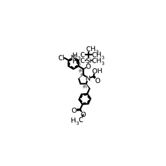 COC(=O)c1ccc(C[C@H]2CC[C@H]([C@H](O[Si](C)(C)C(C)(C)C)c3ccc(Cl)nc3)N2C(=O)O)cc1